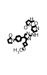 COC1CC(c2nc(Nc3cnc4c(c3)N3C(=O)CC[C@H]3CO4)ncc2-c2ccc(N3CCCC3=O)cc2)C1